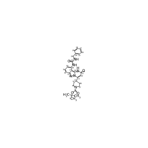 CC(C)(C)OC(=O)N1CCC(c2cc(=O)[nH]c3c4c(NC(=O)NCc5ccccc5)cccc4nn23)CC1